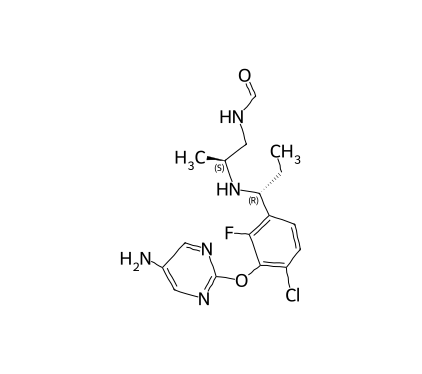 CC[C@@H](N[C@@H](C)CNC=O)c1ccc(Cl)c(Oc2ncc(N)cn2)c1F